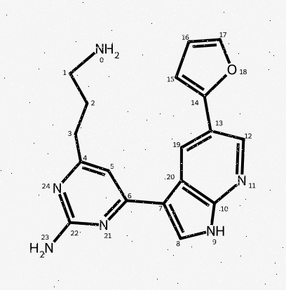 NCCCc1cc(-c2c[nH]c3ncc(-c4ccco4)cc23)nc(N)n1